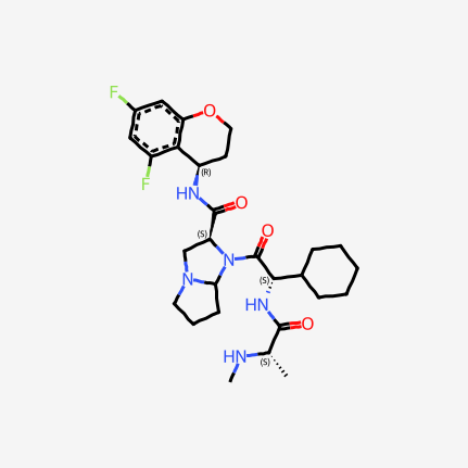 CN[C@@H](C)C(=O)N[C@H](C(=O)N1C2CCCN2C[C@H]1C(=O)N[C@@H]1CCOc2cc(F)cc(F)c21)C1CCCCC1